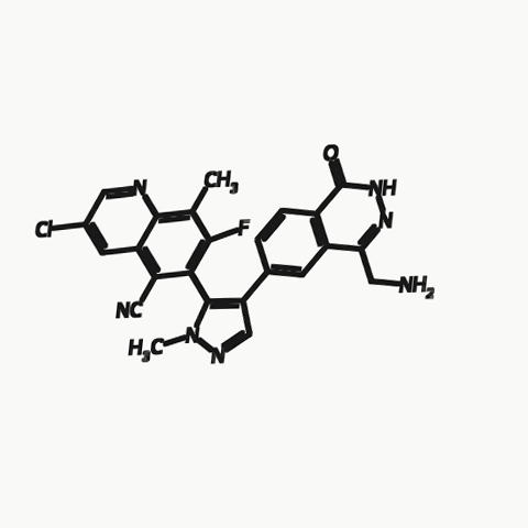 Cc1c(F)c(-c2c(-c3ccc4c(=O)[nH]nc(CN)c4c3)cnn2C)c(C#N)c2cc(Cl)cnc12